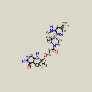 C[C@@H](COCCC(=O)N1CCN2c3ncc(C(F)(F)F)cc3NCC[C@@H]2C1)Nc1cn[nH]c(=O)c1C(F)(F)F